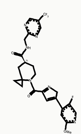 COc1cc(C2=CC(C(=O)N3CC[C@H](C(=O)NCc4ncc(C(F)(F)F)cn4)CC34CC4)=NC2)c(F)cn1